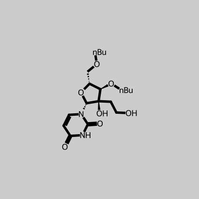 CCCCOC[C@H]1O[C@@H](n2ccc(=O)[nH]c2=O)[C@@](O)(CCO)[C@@H]1OCCCC